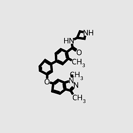 Cc1cc(-c2cccc(Oc3ccc4c(C)nn(C)c4c3)c2)ccc1C(=O)NC1CNC1